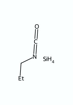 CCCN=C=O.[SiH4]